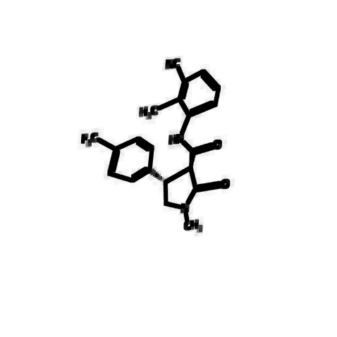 Cc1c(C#N)cccc1NC(=O)[C@H]1C(=O)N(C)C[C@@H]1c1ccc(C(F)(F)F)cc1